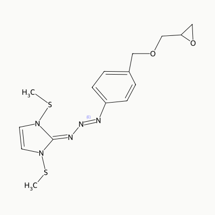 CSn1ccn(SC)c1=N/N=N/c1ccc(COCC2CO2)cc1